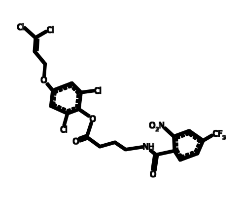 O=C(CCCNC(=O)c1ccc(C(F)(F)F)cc1[N+](=O)[O-])Oc1c(Cl)cc(OCC=C(Cl)Cl)cc1Cl